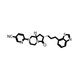 N#Cc1ccc(N2CCN3C(=O)[C@@H](CCCc4cccc5ncsc45)C[C@H]3C2)nc1